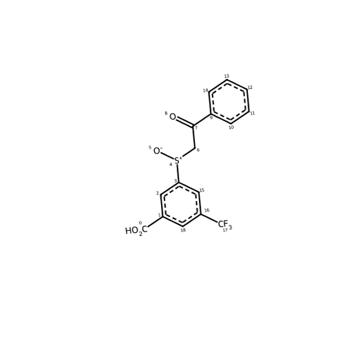 O=C(O)c1cc([S+]([O-])CC(=O)c2ccccc2)cc(C(F)(F)F)c1